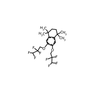 CC1(C)CCC(C)(C)c2cc(OCC(F)(F)C(F)F)c(OCC(F)(F)C(F)F)cc21